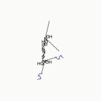 CC/C=C\C/C=C\C/C=C\CCCCCC[C@H](O)CN(C[C@@H](O)CCCCCC/C=C\C/C=C\C/C=C\CC)C(C)CCSSCCN1CCN(CCOC(=O)CCCN(CC(O)CCCCCCCCCCCC)CC(O)CCCCCCCCCCCC)CC1